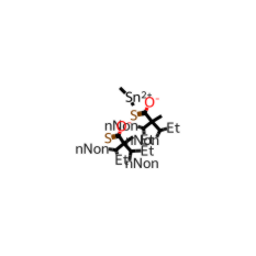 CCCCCCCCCC(CC)C(C)(C([O-])=S)C(CC)CCCCCCCCC.CCCCCCCCCC(CC)C(C)(C([O-])=S)C(CC)CCCCCCCCC.[CH3][Sn+2][CH3]